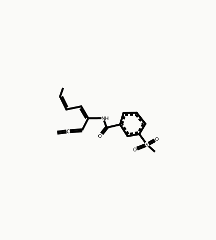 C=C=C/C(=C\C=C/C)NC(=O)c1cccc(S(C)(=O)=O)c1